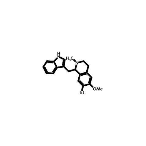 CCc1cc2c(cc1OC)CCN(C)C2Cc1c[nH]c2ccccc12